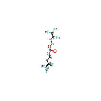 O=C(OCCC(F)=C(F)F)OCCC(F)=C(F)F